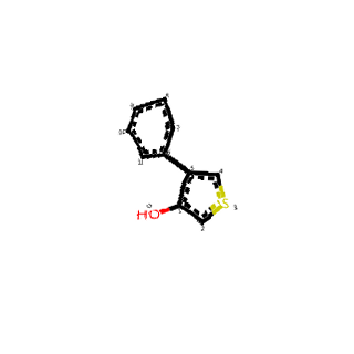 Oc1cscc1-c1ccccc1